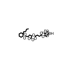 CCCCC1(OC(=O)C2CC(OC(=O)CCC(=O)OC(C)C(F)(F)S(=O)(=O)O)C(=O)O2)CCCCC1